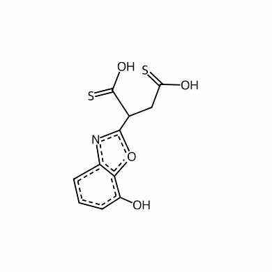 OC(=S)CC(C(O)=S)c1nc2cccc(O)c2o1